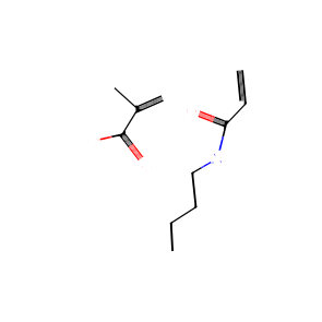 C=C(C)C(=O)O.C=CC(=O)NCCCC